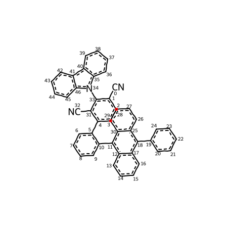 N#Cc1ccc(-c2ccccc2-c2c3ccccc3c(-c3ccccc3)c3ccccc23)c(C#N)c1-n1c2ccccc2c2ccccc21